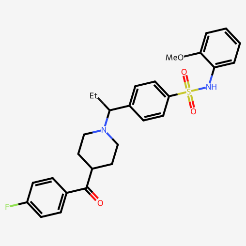 CCC(c1ccc(S(=O)(=O)Nc2ccccc2OC)cc1)N1CCC(C(=O)c2ccc(F)cc2)CC1